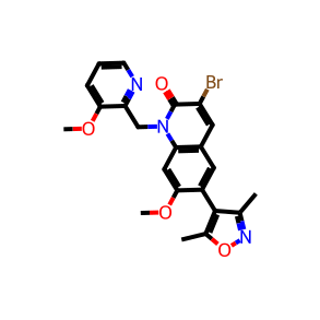 COc1cc2c(cc1-c1c(C)noc1C)cc(Br)c(=O)n2Cc1ncccc1OC